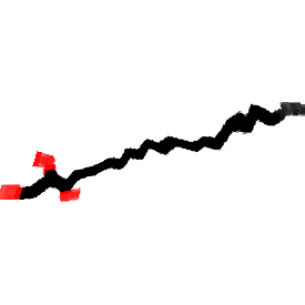 COCCCCCCCCCCCCCCCCC(O)C(O)CO